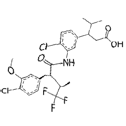 COc1cc([C@@H](C(=O)Nc2cc(C(CC(=O)O)C(C)C)ccc2Cl)[C@@H](C)C(F)(F)F)ccc1Cl